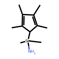 CC1=C(C)C([Si](C)(C)N)C(C)=C1C